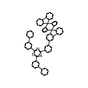 c1ccc(-c2cccc(-c3nc(-c4cccc(-c5ccccc5)c4)nc(-c4cccc(-c5ccc6c(c5)-c5ccccc5C65c6ccccc6C6(c7ccccc7-c7ccccc76)c6ccccc65)c4)n3)c2)cc1